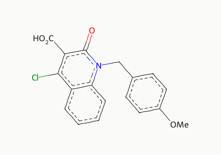 COc1ccc(Cn2c(=O)c(C(=O)O)c(Cl)c3ccccc32)cc1